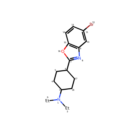 CCN(CC)C1CCC(c2nc3cc(Br)ccc3o2)CC1